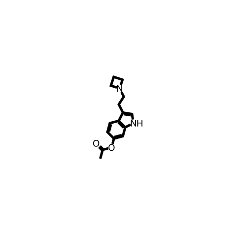 CC(=O)Oc1ccc2c(CCN3CCC3)c[nH]c2c1